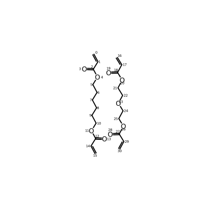 C=CC(=O)OCCCCCCOC(=O)C=C.C=CC(=O)OCCOCCOC(=O)C=C